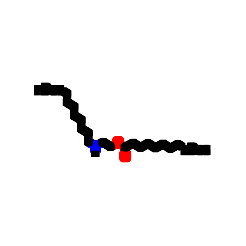 CCCCCCCCCCCCCCCCCCN(C)CCOC(=O)CCCCCCCCCCCCCCCCC